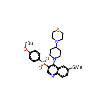 CCCCOc1ccc(S(=O)(=O)c2cnc3ccc(SC)cc3c2N2CCC(N3CCSCC3)CC2)cc1